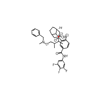 CC(CON(C)Cc1ccccc1)C(C)C1(O)CC2CC[C@@H](C1)C2S(=O)(=O)c1cc(C(=O)Nc2cc(F)c(F)c(F)c2)ccc1Cl